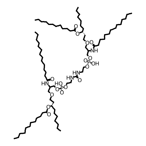 CCCCCCCCCCCCCC(=O)NC(COCC[C@@H](CCCCCCC)OC(=O)CCCCCCCCCCC)COP(=O)(O)OCCNC(=O)NCCOP(=O)(O)OCC(COCC[C@@H](CCCCCCC)OC(=O)CCCCCCCCCCC)NC(=O)CCCCCCCCCCCCC